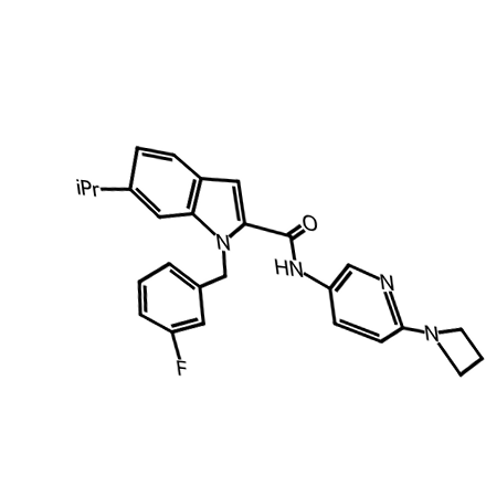 CC(C)c1ccc2cc(C(=O)Nc3ccc(N4CCC4)nc3)n(Cc3cccc(F)c3)c2c1